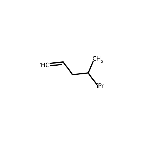 [CH]=CCC(C)C(C)C